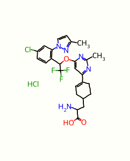 Cc1ccn(-c2cc(Cl)ccc2C(Oc2cc(C3=CCC(CC(N)C(=O)O)CC3)nc(C)n2)C(F)(F)F)n1.Cl